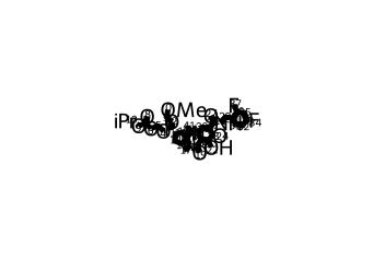 COCOP(OCOC(=O)OC(C)C)[C@H]1CCC2(C1)N(C)C(=O)c1c(O)c(=O)c(C(=O)NCc3ccc(F)cc3F)cn1N2C